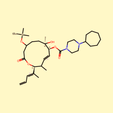 C=C/C=C(\C)[C@H]1OC(=O)CC(O[Si](C)(C)C(C)(C)C)CC[C@@](C)(O)[C@@H](OC(=O)N2CCN(C3CCCCCC3)CC2)/C=C/C1C